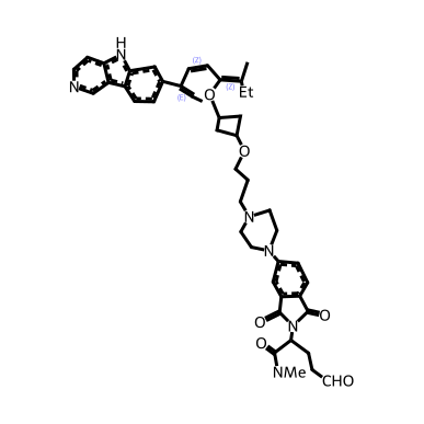 C\C=C(/C=C\C(OC1CC(OCCCN2CCN(c3ccc4c(c3)C(=O)N(C(CCC=O)C(=O)NC)C4=O)CC2)C1)=C(/C)CC)c1ccc2c(c1)[nH]c1ccncc12